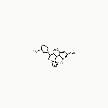 COC1=C[C@@H](O)C(C(CC(=O)N2CCCC(C)C2)c2cccs2)C(OC)=C1